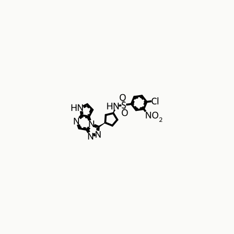 O=[N+]([O-])c1cc(S(=O)(=O)N[C@H]2CC[C@@H](c3nnc4cnc5[nH]ccc5n34)C2)ccc1Cl